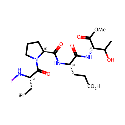 COC(=O)[C@@H](NC(=O)[C@H](CCC(=O)O)NC(=O)[C@@H]1CCCN1C(=O)[C@H](CC(C)C)NI)C(C)O